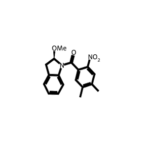 CO[C@@H]1Cc2ccccc2N1C(=O)c1cc(C)c(C)cc1[N+](=O)[O-]